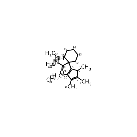 CC1=C(C)C(C)C(C2(C(=O)[NH][Ti+2])CCCCC2[SiH](C)C)=C1C.[Cl-].[Cl-]